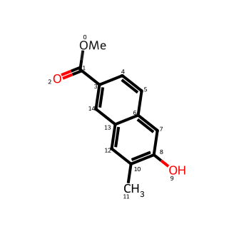 COC(=O)c1ccc2cc(O)c(C)cc2c1